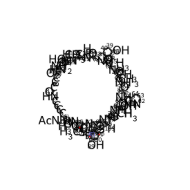 CC(=O)N[C@H]1CCCCNC(=O)CCC[C@@H](C(N)=O)NC(=O)[C@H]([C@@H](C)O)NC(=O)[C@](C)(C(C)C)NC(=O)[C@H](Cc2ccc(O)cc2)NC(=O)[C@H](C)NC(=O)C(C)(C)NC(=O)[C@H](Cc2c[nH]c3ncccc23)NC(=O)[C@H]([C@@H](C)O)NC(=O)[C@@H]2C[C@@H]3CN2C(=O)[C@H](Cc2ccc(O)cc2)NC(=O)[C@@H](NC1=O)C(C)(C)SC/C=C/CS3